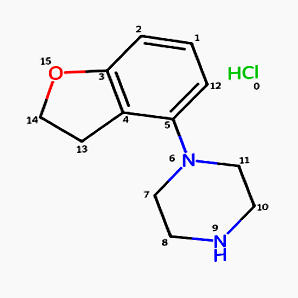 Cl.c1cc2c(c(N3CCNCC3)c1)CCO2